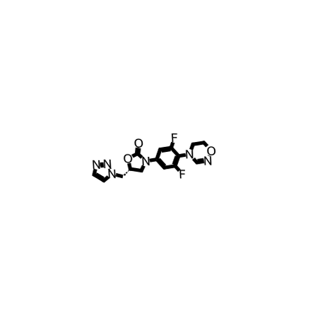 O=C1O[C@@H](Cn2ccnn2)CN1c1cc(F)c(N2C=NOCC2)c(F)c1